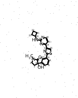 CN1CC[C@@](O)(c2cccc(-c3nc(-c4ccnc(NC5CCC5)n4)cs3)c2)C1=O